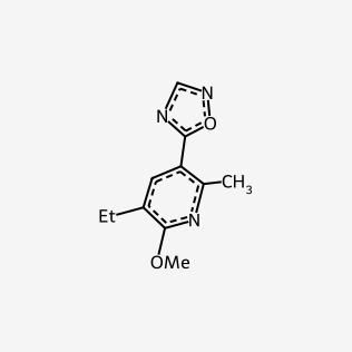 CCc1cc(-c2ncno2)c(C)nc1OC